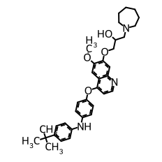 COc1cc2c(Oc3ccc(Nc4ccc(C(C)(C)C)cc4)cc3)ccnc2cc1OCC(O)CN1CCCCCC1